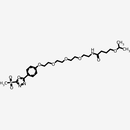 CC(C)OCCCC(=O)NCCOCCOCCOCCOc1ccc(-c2nnc(S(C)(=O)=O)o2)cc1